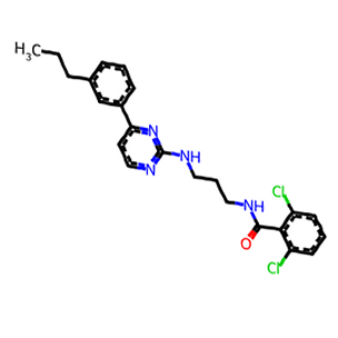 CCCc1cccc(-c2ccnc(NCCCNC(=O)c3c(Cl)cccc3Cl)n2)c1